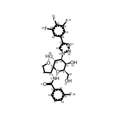 O=C(N[C@@H]1CCO[C@]12O[C@H](CO)[C@H](O)[C@H](n1cc(-c3cc(F)c(F)c(F)c3)nn1)[C@H]2O)c1cccc(F)c1